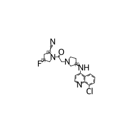 N#C[C@@H]1C[C@H](F)CN1C(=O)CN1CC[C@@H](Nc2ccnc3c(Cl)cccc23)C1